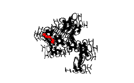 OCC1OC(OC2C(OCC3OC(OC4C(COC5OCC(O)C(O)C5OC5OC(CO)C(O)C(O)C5O)OC(OC5C(CO)OC(O)C(O)C5O)C(O)C4O)C(O)C(O)C3OC3OC(COC4OCC(O)C(O)C4O)C(O)C(O)C3O)OCC(O)C2O)C(O)C(O)C1O